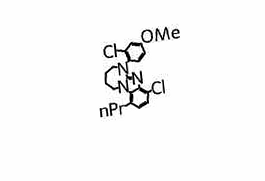 CCCc1ccc(Cl)c2nc3n(c12)CCCCN3c1ccc(OC)cc1Cl